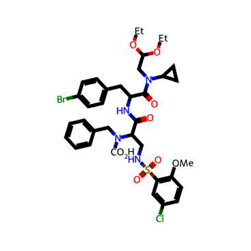 CCOC(CN(C(=O)C(Cc1ccc(Br)cc1)NC(=O)C(CNS(=O)(=O)c1cc(Cl)ccc1OC)N(Cc1ccccc1)C(=O)O)C1CC1)OCC